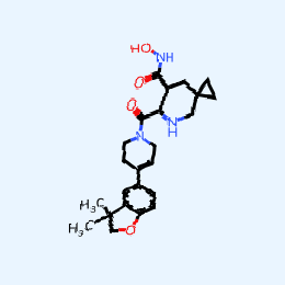 CC1(C)COc2ccc(C3=CCN(C(=O)C4NCC5(CC5)CC4C(=O)NO)CC3)cc21